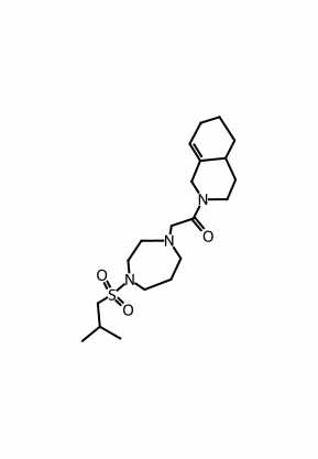 CC(C)CS(=O)(=O)N1CCCN(CC(=O)N2CCC3CCCC=C3C2)CC1